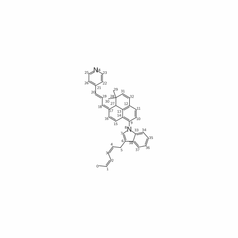 C/C=C\C=C/Cc1cn(-c2ccc3c4c2C=C/C(=C/C=C/c2ccncc2)C4C(C)(C)C=C3)c2ccccc12